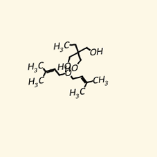 CC(C)=CCOCC=C(C)C.CCC(CO)(CO)CO